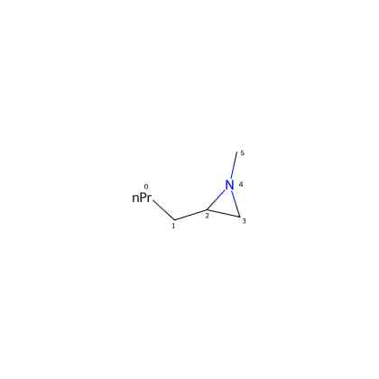 CCCCC1CN1C